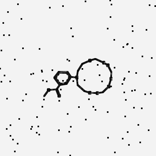 COC(=O)c1cccc(N2CCOCCOCCOCCOCC2)c1